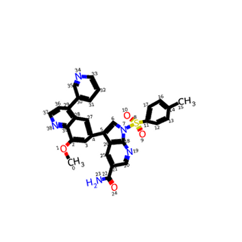 COc1cc(-c2cn(S(=O)(=O)c3ccc(C)cc3)c3ncc(C(N)=O)cc23)cc2c(-c3cccnc3)ccnc12